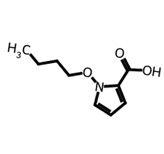 CCCCOn1cccc1C(=O)O